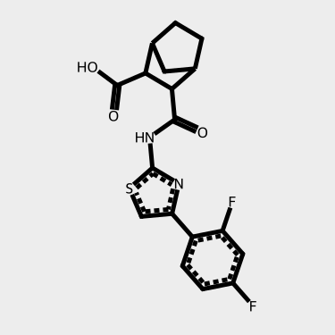 O=C(O)C1C2CCC(C2)C1C(=O)Nc1nc(-c2ccc(F)cc2F)cs1